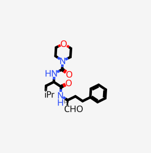 CC(C)CC(NC(=O)N1CCOCC1)C(=O)N[C@H](C=O)CCc1ccccc1